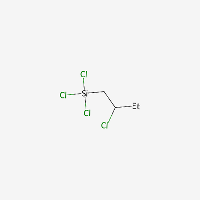 CCC(Cl)C[Si](Cl)(Cl)Cl